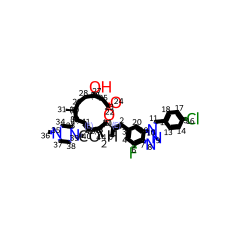 C/C(=C\c1cc(F)c2nnn(Cc3ccc(Cl)cc3)c2c1)[C@H]1OC(=O)C[C@H](O)CC[C@H](C)[C@@H](C2CN(C)CCN2C(=O)O)/C=C/[C@@H]1C